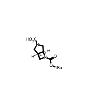 CC(C)(C)OC(=O)N1C[C@H]2CN(C(=O)O)C[C@H]21